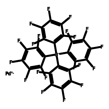 Fc1c(F)c(F)c([B-](c2c(F)c(F)c(F)c(F)c2F)(c2c(F)c(F)c(F)c(F)c2F)c2c(F)c(F)c(F)c(F)c2F)c(F)c1F.[Pd+]